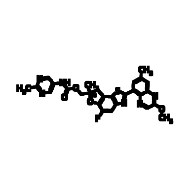 COc1cnc2c(-c3nc4cc(F)c5c(c4s3)C[C@@](C)(COC(=O)Nc3cnc(C)nc3)O5)cc(C)cc2n1